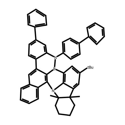 CC(C)(C)c1cc2c3c(c1)C1(C)CCCCC1(C)N3c1c3c(cc4ccccc14)-c1ccc(-c4ccccc4)cc1N(c1ccc(-c4ccccc4)cc1)B23